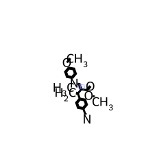 C=C(/C(=C\N(C)c1ccc(OC)cc1)C(=O)OCC)c1ccc(C#N)cc1